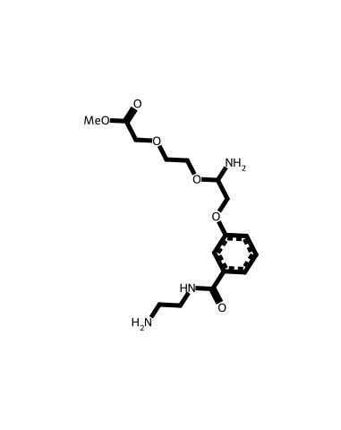 COC(=O)COCCOC(N)COc1cccc(C(=O)NCCN)c1